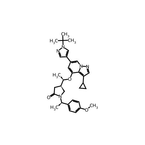 COc1ccc([C@@H](C)N2C[C@H]([C@@H](C)Oc3cc(-c4cnn(C(C)(C)C)c4)cn4ncc(C5CC5)c34)CC2=O)cc1